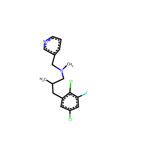 CC(Cc1cc(Cl)cc(F)c1Cl)CN(C)Cc1cccnc1